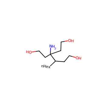 CCCCCCC(CCO)C(N)(CCO)CCO